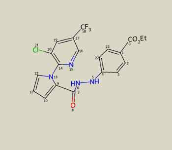 CCOC(=O)c1ccc(NNC(=O)c2cccn2-c2ncc(C(F)(F)F)cc2Cl)cc1